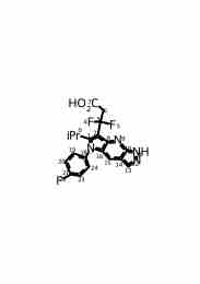 CC(C)c1c(C(F)(F)CC(=O)O)c2nc3[nH]ncc3cc2n1-c1ccc(F)cc1